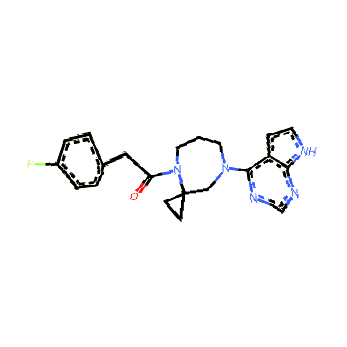 O=C(Cc1ccc(F)cc1)N1CCCN(c2ncnc3[nH]ccc23)CC12CC2